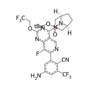 CC(C)(C)OC(=O)N1[C@@H]2CC[C@H]1CN(c1nc(OCC(F)(F)F)nc3c(F)c(-c4cc(N)cc(C(F)(F)F)c4C#N)ncc13)C2